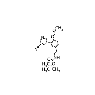 COCOc1ccc(CCNC(=O)OC(C)(C)C)cc1-c1cncc(C#N)c1